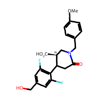 COc1ccc(CN2C[C@H](C(=O)O)C(c3c(F)cc(CO)cc3F)CC2=O)cc1